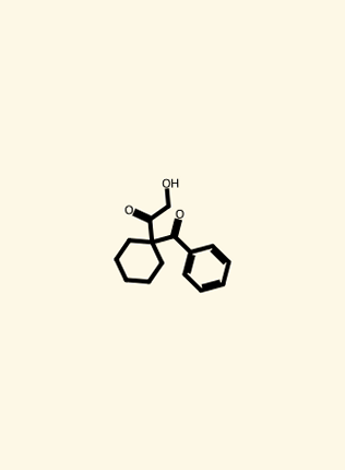 O=C(CO)C1(C(=O)c2ccccc2)CCCCC1